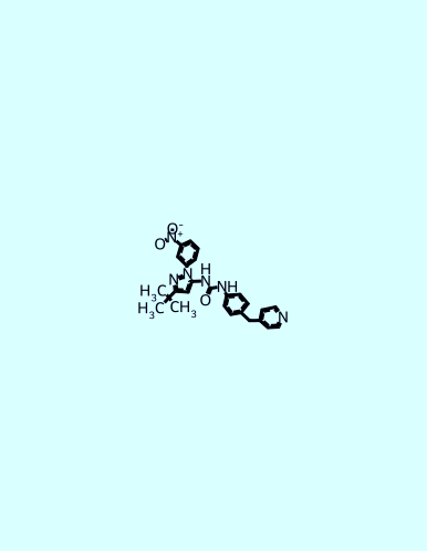 CC(C)(C)c1cc(NC(=O)Nc2ccc(Cc3ccncc3)cc2)n(-c2cccc([N+](=O)[O-])c2)n1